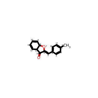 Cc1ccc(/C=C2\OC3C=CC=CC3C2=O)cc1